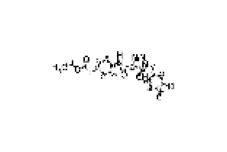 CCOC(=O)Cc1ccc(NC(=O)c2nnn(Cc3ccc(Cl)c(Cl)c3)c2C)cc1